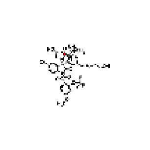 COc1ccc(S(=O)(=O)N2C(=O)C(c3cc(C/C=C/CCO)ccc3OC)(N3C[C@H](O)C[C@H]3C(=O)N(C)C)c3cc(Cl)ccc32)c(OC(F)(F)F)c1